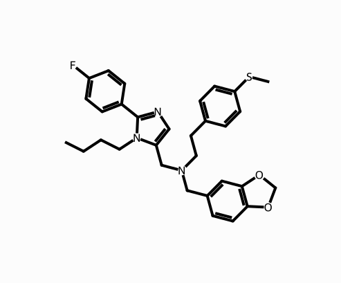 CCCCn1c(CN(CCc2ccc(SC)cc2)Cc2ccc3c(c2)OCO3)cnc1-c1ccc(F)cc1